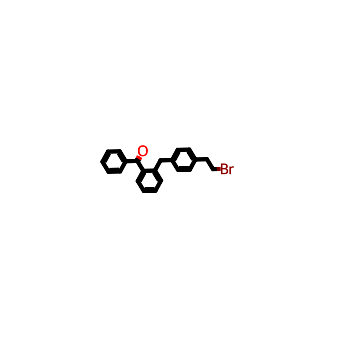 O=C(c1ccccc1)c1ccccc1Cc1ccc(CCBr)cc1